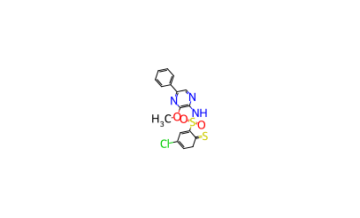 COc1nc(-c2ccccc2)cnc1NS(=O)(=O)C1=CC(Cl)=CCC1=S